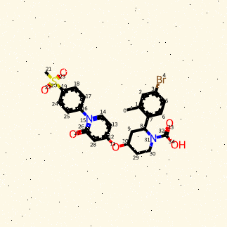 Cc1cc(Br)ccc1C1CC(Oc2ccn(-c3ccc(S(C)(=O)=O)cc3)c(=O)c2)CCN1C(=O)O